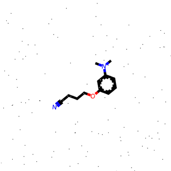 CN(C)c1cccc(OCCCC#N)c1